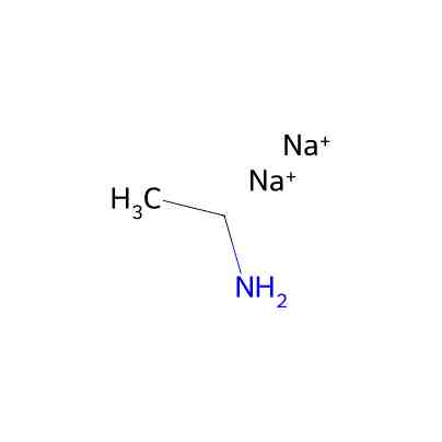 CCN.[Na+].[Na+]